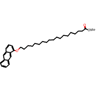 COC(=O)CCCCCCCCCCCCCCCCCCOc1cccc2cc3ccccc3cc12